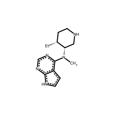 CC[C@@H]1CCNC[C@@H]1N(C)c1ncnc2[nH]ccc12